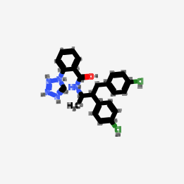 CC(NC(=O)c1ccccc1-n1cnnn1)C(Cc1ccc(Cl)cc1)c1ccc(Cl)cc1